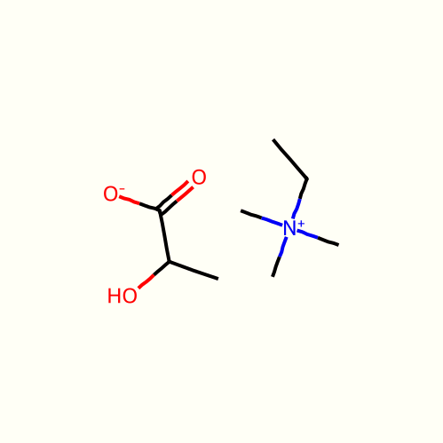 CC(O)C(=O)[O-].CC[N+](C)(C)C